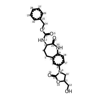 O=C(N[C@@H]1CCc2cc(N3CC(CO)OC3=O)ccc2NC1=O)OCc1ccccc1